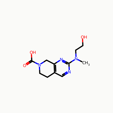 CN(CCO)c1ncc2c(n1)CN(C(=O)O)CC2